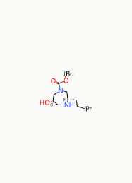 CC(C)CC[C@H]1CN(C(=O)OC(C)(C)C)C[C@@H](O)CN1